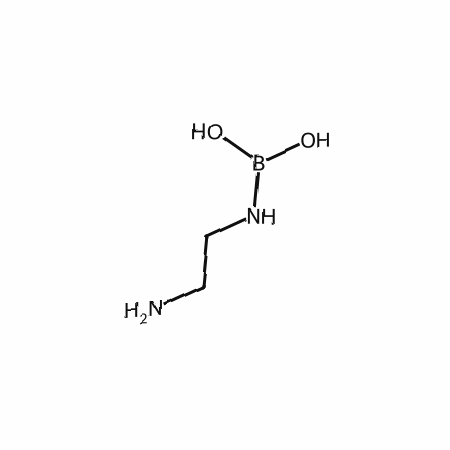 NCCNB(O)O